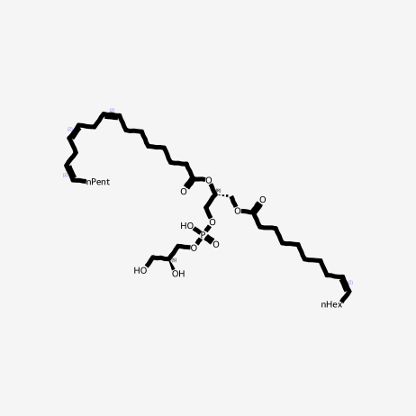 CCCCC/C=C\C/C=C\C/C=C\CCCCCCC(=O)O[C@H](COC(=O)CCCCCCC/C=C\CCCCCC)COP(=O)(O)OC[C@@H](O)CO